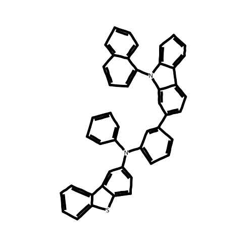 c1ccc(N(c2cccc(-c3ccc4c5ccccc5n(-c5cccc6ccccc56)c4c3)c2)c2ccc3sc4ccccc4c3c2)cc1